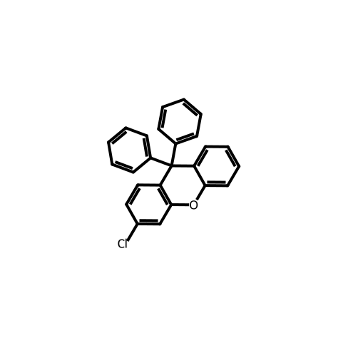 Clc1ccc2c(c1)Oc1ccccc1C2(c1ccccc1)c1ccccc1